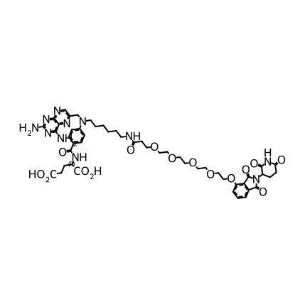 Nc1nc(N)c2nc(CN(CCCCCCNC(=O)CCOCCOCCOCCOCCOc3cccc4c3C(=O)N(C3CCC(=O)NC3=O)C4=O)c3ccc(C(=O)N[C@H](CCC(=O)O)C(=O)O)cc3)cnc2n1